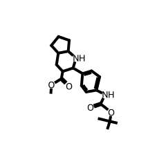 COC(=O)C1CC2CCCC2NC1c1ccc(NC(=O)OC(C)(C)C)cc1